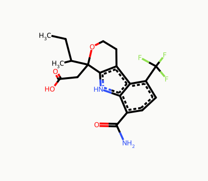 CCC(C)C1(CC(=O)O)OCCc2c1[nH]c1c(C(N)=O)ccc(C(F)(F)F)c21